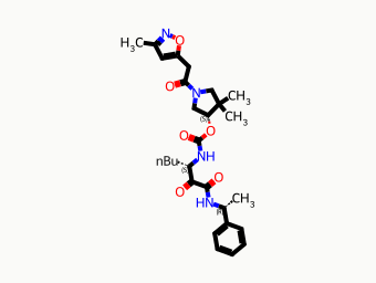 CCCC[C@H](NC(=O)O[C@@H]1CN(C(=O)Cc2cc(C)no2)CC1(C)C)C(=O)C(=O)N[C@H](C)c1ccccc1